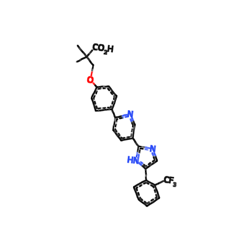 CC(C)(COc1ccc(-c2ccc(-c3ncc(-c4ccccc4C(F)(F)F)[nH]3)cn2)cc1)C(=O)O